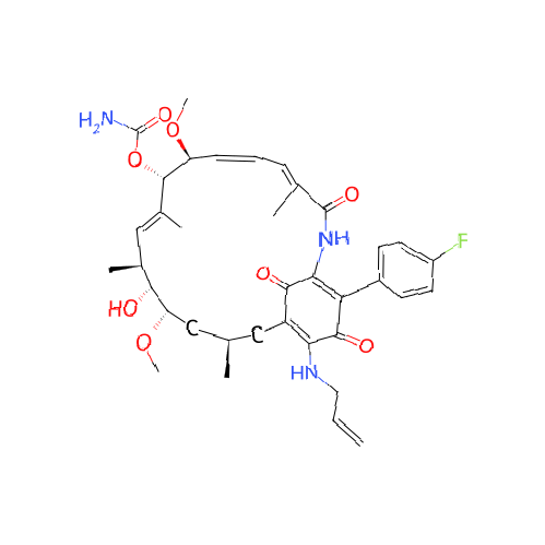 C=CCNC1=C2C[C@@H](C)C[C@H](OC)[C@H](O)[C@@H](C)/C=C(\C)[C@H](OC(N)=O)[C@@H](OC)/C=C\C=C(/C)C(=O)NC(=C(c3ccc(F)cc3)C1=O)C2=O